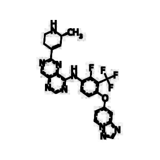 C[C@H]1C=C(c2ncc3ncnc(Nc4ccc(Oc5ccn6ncnc6c5)c(C(F)(F)F)c4F)c3n2)CCN1